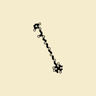 CC(=O)C(C(C)=O)(C(C)=O)C(=O)CCOCCOCCOCCOCCOC(=O)CCON1C(=O)CCC1=O